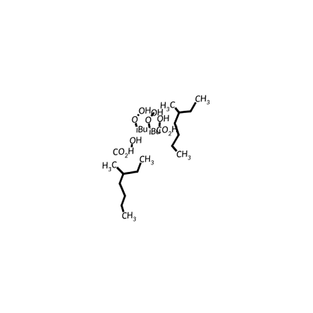 CCC(C)OO.CCC(C)OO.CCCCC(C)CC.CCCCC(C)CC.O=C(O)O.O=C(O)O